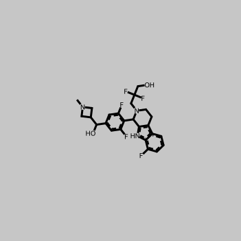 CN1CC(C(O)c2cc(F)c(C3c4[nH]c5c(F)cccc5c4CCN3CC(F)(F)CO)c(F)c2)C1